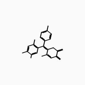 C=C1C=C(C)/C(=C(/c2ccc(C)cc2)c2cc(O)c(C)cc2C)CC1=C